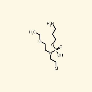 CCOCCN(CCCl)P(=O)(O)OCCCN